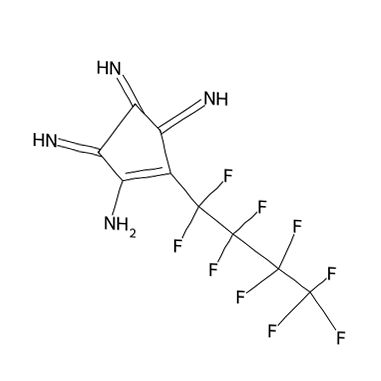 N=c1c(N)c(C(F)(F)C(F)(F)C(F)(F)C(F)(F)F)c(=N)c1=N